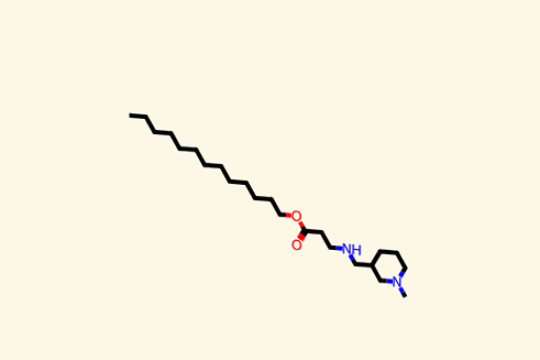 CCCCCCCCCCCCCOC(=O)CCNCC1CCCN(C)C1